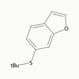 CC(C)(C)Sc1ccc2c[c]oc2c1